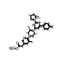 Cc1cc(CC(=O)OC(C)(C)C)cnc1N1CCN(c2cc(-c3ccc(F)cc3)nc(N3CCC[C@H]3C)n2)[C@H](C)C1